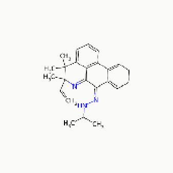 C=CC1(C)N=C2/C(=N\NC(C)C)C3=CCCC=C3c3cccc(c32)C1(C)C